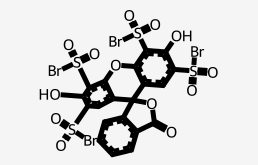 O=C1OC2(c3ccccc31)c1cc(S(=O)(=O)Br)c(O)c(S(=O)(=O)Br)c1Oc1c2cc(S(=O)(=O)Br)c(O)c1S(=O)(=O)Br